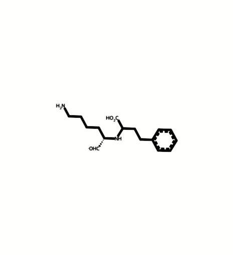 NCCCC[C@@H]([C]=O)NC(CCc1ccccc1)C(=O)O